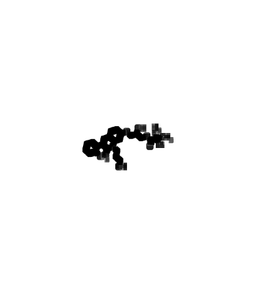 CCC(C)(C)C(=O)OCC(O)COC1=CC2C(C=C1)C=C(c1ccccc1C(F)(F)F)C(=O)N2CCCO